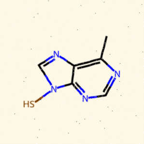 Cc1ncnc2c1ncn2S